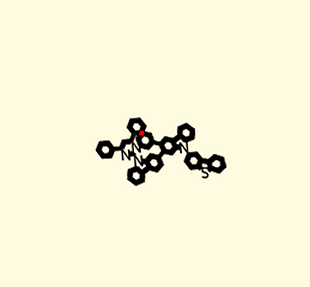 c1ccc(-c2cc(-c3ccccc3)nc(-n3c4ccccc4c4ccc(-c5cc6c(cc5-c5ccccc5)c5ccccc5n6-c5ccc6sc7ccccc7c6c5)cc43)n2)cc1